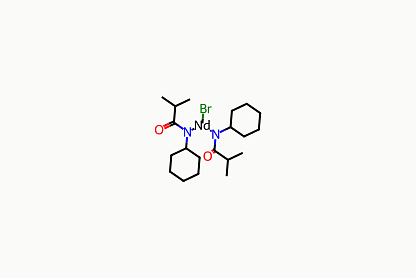 CC(C)C(=O)[N](C1CCCCC1)[Nd]([Br])[N](C(=O)C(C)C)C1CCCCC1